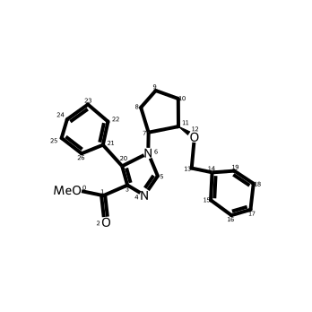 COC(=O)c1ncn(C2CCC[C@H]2OCc2ccccc2)c1-c1ccccc1